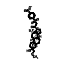 COCC1(O)CC[C@@]2(C)C(CC[C@H]3[C@@H]4CC[C@H](C(=O)CS(=O)(=O)c5ccc([N+](=O)[O-])cc5)[C@@]4(C)CC[C@@H]32)C1